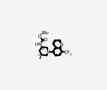 C[C@H]1C[C@@H](NC(=O)OC(C)(C)C)CN(c2ccc(C(F)(F)F)c3ncccc23)C1